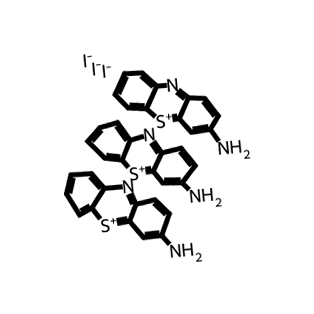 Nc1ccc2nc3ccccc3[s+]c2c1.Nc1ccc2nc3ccccc3[s+]c2c1.Nc1ccc2nc3ccccc3[s+]c2c1.[I-].[I-].[I-]